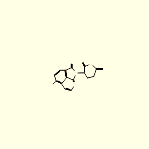 C=C1CCC(N2C(=O)c3ccc(O)c4ccnc2c34)C(=O)N1